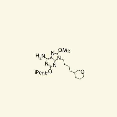 CCC[C@@H](C)Oc1nc(N)c2nc(OC)n(CCCCC3CCCOC3)c2n1